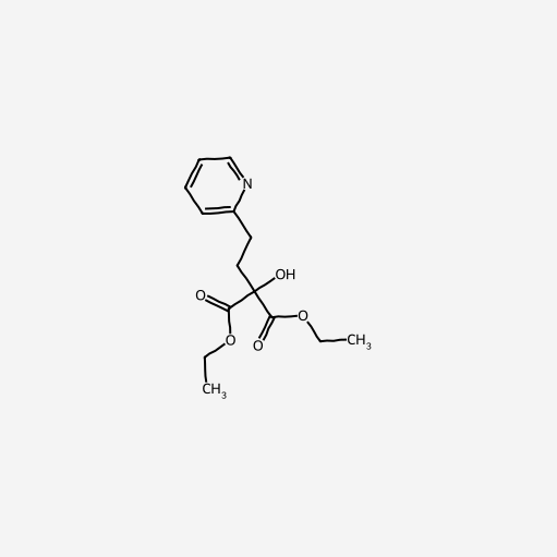 CCOC(=O)C(O)(CCc1ccccn1)C(=O)OCC